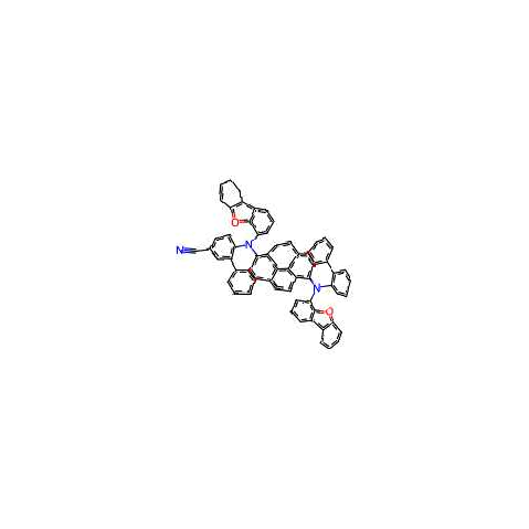 N#Cc1ccc(N(c2ccc3ccc4c(N(c5ccccc5-c5ccccc5)c5cccc6c5oc5ccccc56)ccc5ccc2c3c54)c2cccc3c4c(oc23)C=CCC4)c(-c2ccccc2)c1